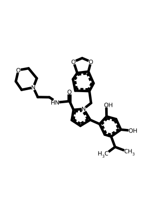 CC(C)c1cc(-c2ccc(C(=O)NCCN3CCOCC3)n2Cc2ccc3c(c2)OCO3)c(O)cc1O